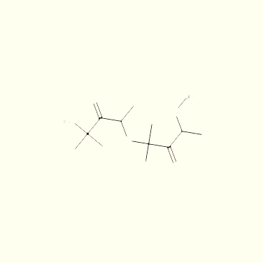 CCCCC(C)(C)C(=O)C(C)OC(C)(CC)C(=O)C(C)OC(C)CC